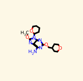 COc1nc2c(N)nc(OCC3CCOCC3)nc2n1C1CCCCO1